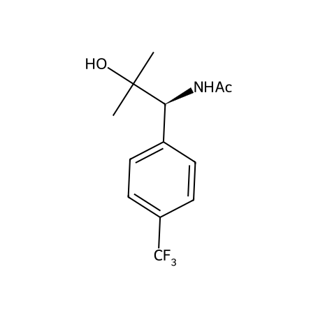 CC(=O)N[C@@H](c1ccc(C(F)(F)F)cc1)C(C)(C)O